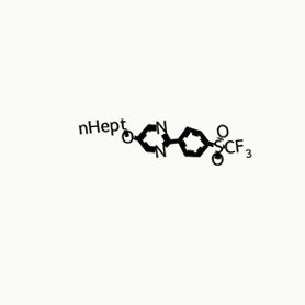 CCCCCCCOc1cnc(-c2ccc(S(=O)(=O)C(F)(F)F)cc2)nc1